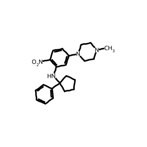 CN1CCN(c2ccc([N+](=O)[O-])c(NC3(c4ccccc4)CCCC3)c2)CC1